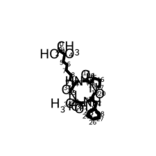 C[C@@H](O)C(=O)CCCCC[C@@H]1NC(=O)[C@H]2CCCN2C(=O)C(Cc2ccccc2)NC(=O)C(C)(C)NC1=O